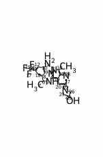 Cc1nnc(N[C@H](C)c2cc(N)cc(C(F)(F)F)c2)c2cc(N3CC(O)C3)cnc12